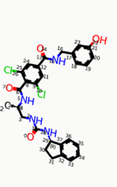 O=C(NC[C@H](NC(=O)c1c(Cl)cc(C(=O)NCc2cccc(O)c2)cc1Cl)C(=O)O)N[C@@H]1CCc2ccccc21